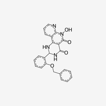 O=C1NC(c2ccccc2OCc2ccccc2)Nc2c1c(=O)n(O)c1ncccc21